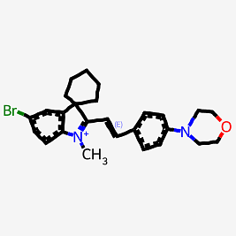 C[N+]1=C(/C=C/c2ccc(N3CCOCC3)cc2)C2(CCCCC2)c2cc(Br)ccc21